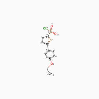 CCOc1ccc(-c2ccc(S(=O)(=O)Cl)s2)cc1